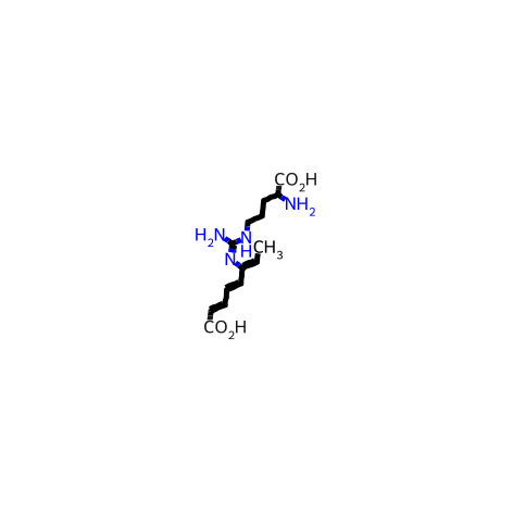 C/C=C(/C=C/C=C/C(=O)O)\N=C(\N)NCCCC(N)C(=O)O